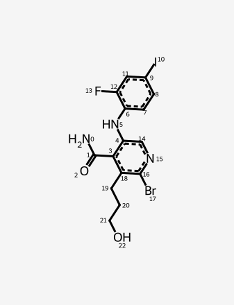 NC(=O)c1c(Nc2ccc(I)cc2F)cnc(Br)c1CCCO